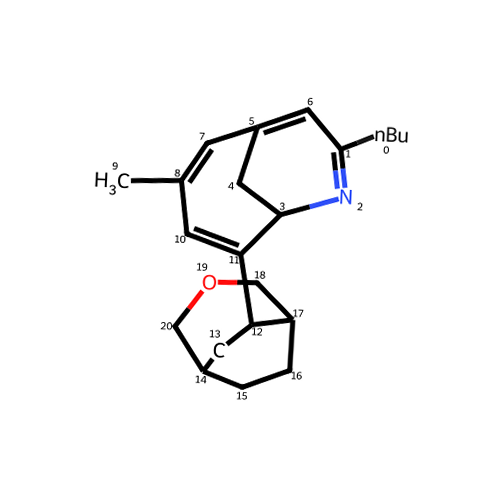 CCCCC1=NC2CC(=C1)C=C(C)C=C2C1CC2CCC1COC2